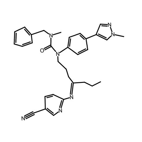 CCC/C(CCCN(C(=O)N(C)Cc1ccccc1)c1ccc(-c2cnn(C)c2)cc1)=N/c1ccc(C#N)cn1